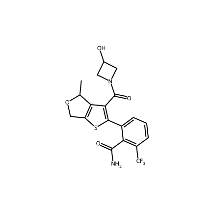 CC1OCc2sc(-c3cccc(C(F)(F)F)c3C(N)=O)c(C(=O)N3CC(O)C3)c21